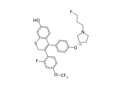 Oc1ccc2c(c1)SCC(c1ccc(OC(F)(F)F)cc1F)=C2c1ccc(O[C@H]2CCN(CCCF)C2)cc1